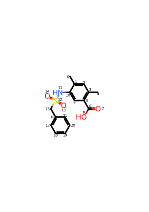 Cc1cc(C)c(C(=O)O)cc1NS(=O)(=O)Cc1ccccc1